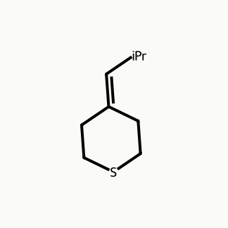 CC(C)C=C1CCSCC1